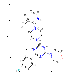 Fc1ccc(-c2nc(N3CCOCC3)nc(N3CCN(c4ncccc4C(F)(F)F)CC3)n2)cc1